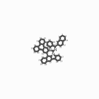 c1ccc2cc(-c3nc(-n4c5ccccc5c5cc6ccccc6c(-c6ccc7c8ccccc8c8ccccc8c7c6)c54)nc4ccccc34)ccc2c1